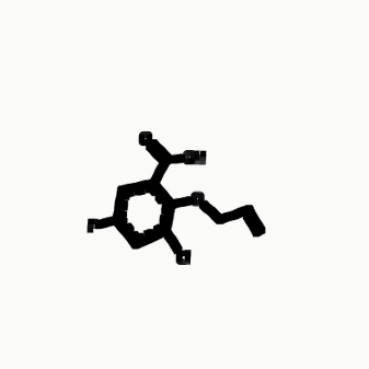 C=CCOc1c(Cl)cc(F)cc1C(=O)O